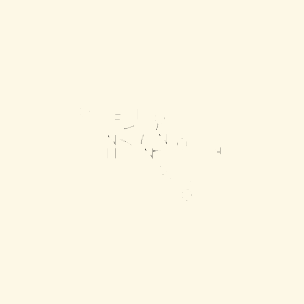 COC1CC(Nc2cc3nc(CSC4CCOCC4)n(COCC[Si](C)(C)C)c(=O)c3c(F)c2F)C1